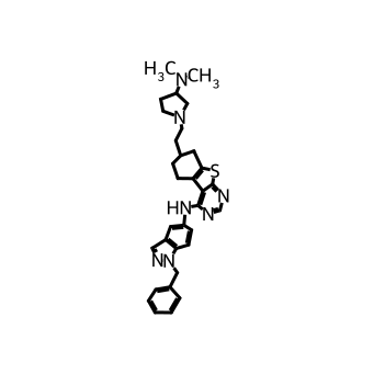 CN(C)C1CCN(CCC2CCc3c(sc4ncnc(Nc5ccc6c(cnn6Cc6ccccc6)c5)c34)C2)C1